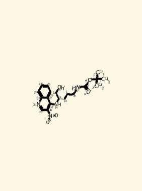 CC(C)(C)OC(=O)NCCC[C@@H](CO)Nc1c([N+](=O)[O-])cnc2ccccc12